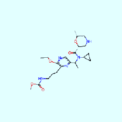 CCOc1ncc(C(C)N(C(=O)[C@H]2CNC[C@@H](C)O2)C2CC2)nc1CCCNC(=O)OC